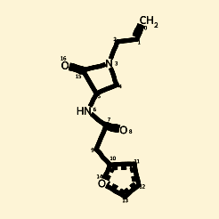 C=CCN1CC(NC(=O)Cc2ccco2)C1=O